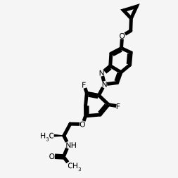 CC(=O)N[C@@H](C)COc1cc(F)c(-n2cc3ccc(OCC4CC4)cc3n2)c(F)c1